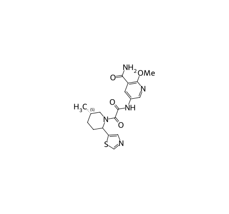 COc1ncc(NC(=O)C(=O)N2C[C@@H](C)CCC2c2cncs2)cc1C(N)=O